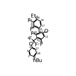 CCCCc1ccc(OC(F)(F)c2c(F)cc([O])c(-c3ccc(CC)c(F)c3F)c2F)cc1